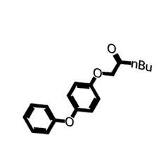 CCCCC(=O)COc1ccc(Oc2ccccc2)cc1